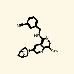 Cc1nnc(NCc2cccc(C#N)c2)c2cc(N3CC4CC(C3)O4)cnc12